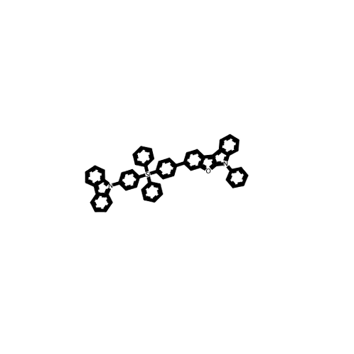 c1ccc(-n2c3ccccc3c3c4ccc(-c5ccc([Si](c6ccccc6)(c6ccccc6)c6ccc(-n7c8ccccc8c8ccccc87)cc6)cc5)cc4oc32)cc1